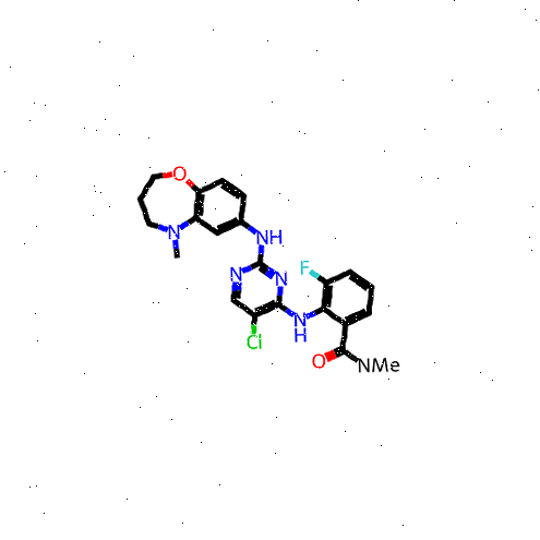 CNC(=O)c1cccc(F)c1Nc1nc(Nc2ccc3c(c2)N(C)CCCO3)ncc1Cl